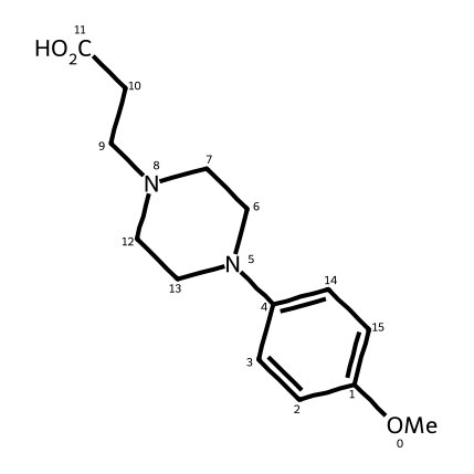 COc1ccc(N2CCN(CCC(=O)O)CC2)cc1